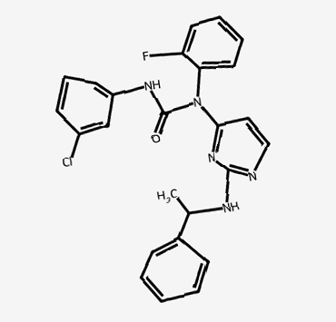 CC(Nc1nccc(N(C(=O)Nc2cccc(Cl)c2)c2ccccc2F)n1)c1ccccc1